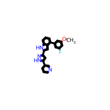 COc1cc(F)cc(-c2cccc3[nH]c(-c4cc(-c5cccnc5)[nH]n4)cc23)c1